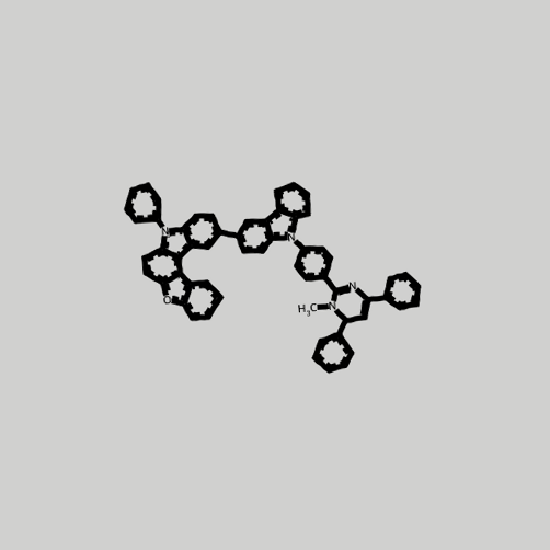 CN1C(c2ccc(-n3c4ccccc4c4cc(-c5ccc6c(c5)c5c7c(ccc5n6-c5ccccc5)oc5ccccc57)ccc43)cc2)=NC(c2ccccc2)=CC1c1ccccc1